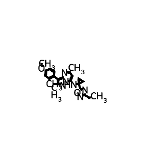 CCc1noc(C2(Nc3cc(C)nc4c(-c5ccc(OC)cc5C)c(C)nn34)CC2)n1